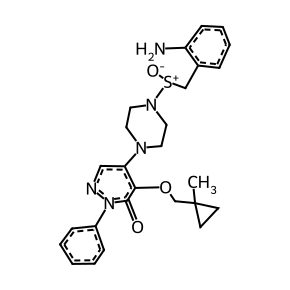 CC1(COc2c(N3CCN([S+]([O-])Cc4ccccc4N)CC3)cnn(-c3ccccc3)c2=O)CC1